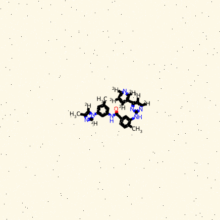 [2H]c1nc(Nc2cc(C(=O)Nc3cc(C)cc(-n4c([2H])nc(C)c4[2H])c3)ccc2C)nc(-c2c([2H])nc([2H])c([2H])c2[2H])c1[2H]